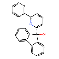 OC1(c2cccc(-c3ccccc3)n2)c2ccccc2-c2ccccc21